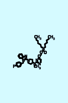 CCCCCCN(CCCCCC)C(=O)OCOc1ccnc(N(C)C2CCN(c3nc4ccccc4n3Cc3ccc(F)cc3)CC2)n1